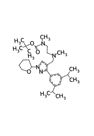 CC(C)c1cc(-c2nn(C3CCCCO3)cc2CN(C)CCN(C)C(=O)OC(C)(C)C)cc(C(C)C)c1